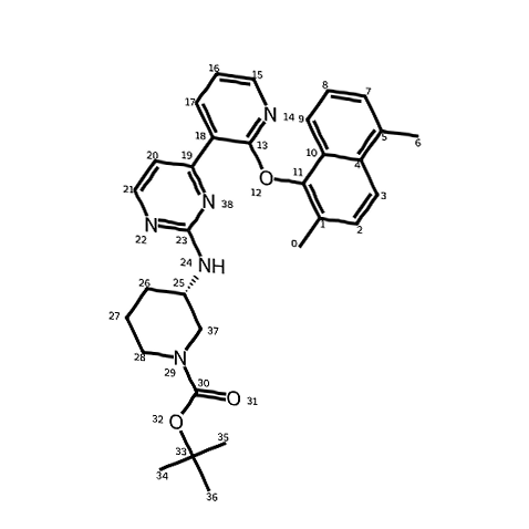 Cc1ccc2c(C)cccc2c1Oc1ncccc1-c1ccnc(N[C@H]2CCCN(C(=O)OC(C)(C)C)C2)n1